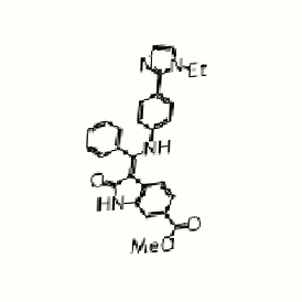 CCn1ccnc1-c1ccc(NC(=C2C(=O)Nc3cc(C(=O)OC)ccc32)c2ccccc2)cc1